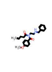 C=CCCC(=O)N(CCNCc1ccccc1)C(=O)c1ccc(OC)cc1